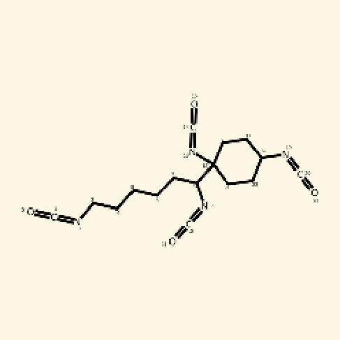 O=C=NCCCCCC(N=C=O)C1(N=C=O)CCC(N=C=O)CC1